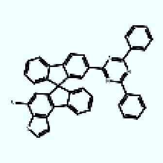 Brc1cc2c(c3ccsc13)-c1ccccc1C21c2ccccc2-c2ccc(-c3nc(-c4ccccc4)nc(-c4ccccc4)n3)cc21